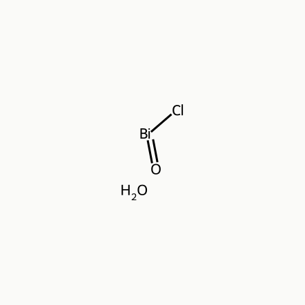 O.[O]=[Bi][Cl]